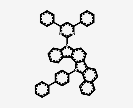 c1ccc(-c2ccc(-n3c4c5ccccc5ccc4c4ccc5c(c6ccccc6n5-c5nc(-c6ccccc6)cc(-c6ccccc6)n5)c43)cc2)cc1